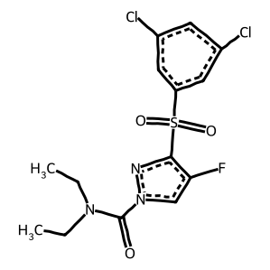 CCN(CC)C(=O)n1cc(F)c(S(=O)(=O)c2cc(Cl)cc(Cl)c2)n1